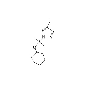 C[Si](C)(OC1CCCCC1)n1cc(I)cn1